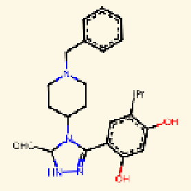 CC(C)c1cc(C2=NNC(C=O)N2C2CCN(Cc3ccccc3)CC2)c(O)cc1O